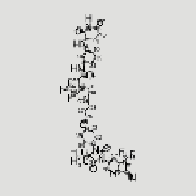 CC1(C)C(=O)N(c2cnc(C#N)c(C(F)(F)F)c2)C(=S)N1C1CCC(OCCCN2CCN(CC(=O)Nc3cccc(NC4CCC(=O)NC4=O)c3)C(C(F)(F)F)C2)CC1